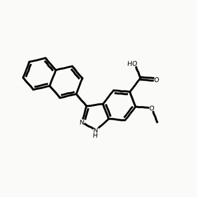 COc1cc2[nH]nc(-c3ccc4ccccc4c3)c2cc1C(=O)O